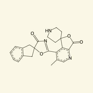 Cc1cnc2c(c1C1=NC(=O)C3(Cc4ccccc4C3)O1)C1(CCNCC1)OC2=O